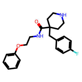 O=C(NCCOc1ccccc1)C1(Cc2ccc(F)cc2)CCNCC1